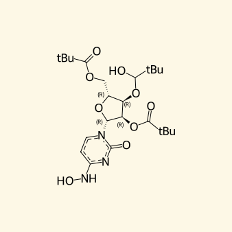 CC(C)(C)C(=O)OC[C@H]1O[C@@H](n2ccc(NO)nc2=O)[C@H](OC(=O)C(C)(C)C)[C@@H]1OC(O)C(C)(C)C